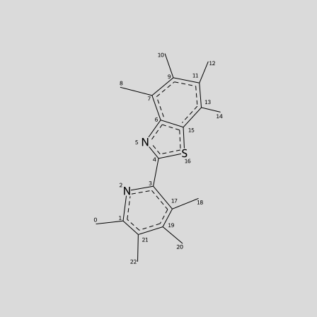 Cc1nc(-c2nc3c(C)c(C)c(C)c(C)c3s2)c(C)c(C)c1C